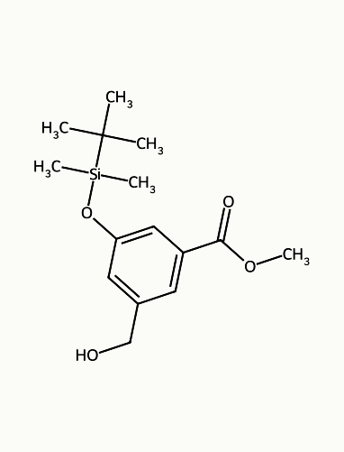 COC(=O)c1cc(CO)cc(O[Si](C)(C)C(C)(C)C)c1